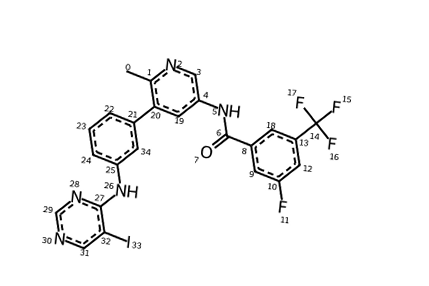 Cc1ncc(NC(=O)c2cc(F)cc(C(F)(F)F)c2)cc1-c1cccc(Nc2ncncc2I)c1